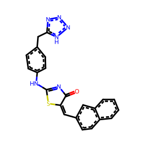 O=C1N=C(Nc2ccc(Cc3nnn[nH]3)cc2)SC1=Cc1ccc2ccccc2c1